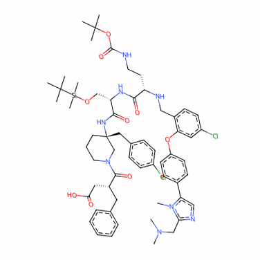 CN(C)Cc1ncc(-c2ccc(Oc3cc(Cl)ccc3CN[C@@H](CCNC(=O)OC(C)(C)C)C(=O)N[C@@H](CO[Si](C)(C)C(C)(C)C)C(=O)N[C@@]3(Cc4ccc(Cl)cc4)CCCN(C(=O)[C@@H](CC(=O)O)Cc4ccccc4)C3)cc2)n1C